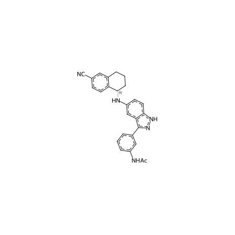 CC(=O)Nc1cccc(-c2n[nH]c3ccc(N[C@H]4CCCc5cc(C#N)ccc54)cc23)c1